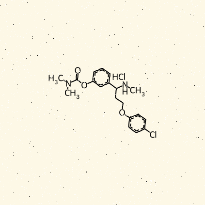 CNC(CCOc1ccc(Cl)cc1)c1cccc(OC(=O)N(C)C)c1.Cl